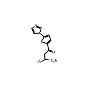 CCCC(CC(=O)c1ccc(-n2ccnc2)s1)C(=O)O